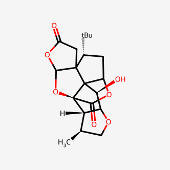 C[C@@H]1COC2[C@H]1[C@@]13OC4OC(=O)CC45[C@H](C(C)(C)C)CC(OC1=O)C53[C@H]2O